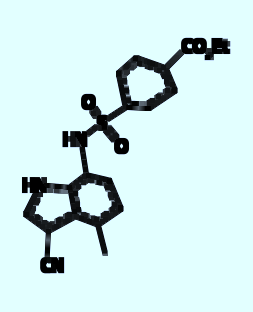 CCOC(=O)c1ccc(S(=O)(=O)Nc2ccc(C)c3c(C#N)c[nH]c23)cc1